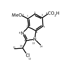 COc1cc(C(=O)O)cc2c1nc(C(C)Cl)n2C